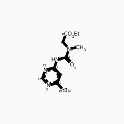 CCOC(=O)CN(C)C(=O)Nc1cc(C(C)(C)C)ncn1